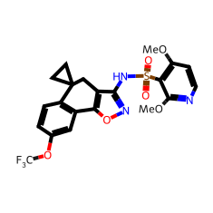 COc1ccnc(OC)c1S(=O)(=O)Nc1noc2c1CC1(CC1)c1ccc(OC(F)(F)F)cc1-2